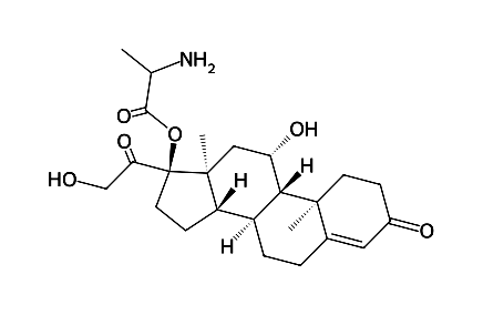 CC(N)C(=O)O[C@]1(C(=O)CO)CC[C@H]2[C@@H]3CCC4=CC(=O)CC[C@]4(C)[C@H]3[C@@H](O)C[C@@]21C